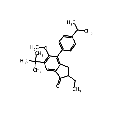 CCC1Cc2c(cc(C(C)(C)C)c(OC)c2-c2ccc(C(C)C)cc2)C1=O